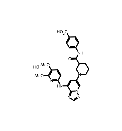 COc1ccc(Nc2cc(N3CCCC(C(=O)Nc4ccc(C(=O)O)cc4)C3)cn3ncnc23)nc1OC.Cl